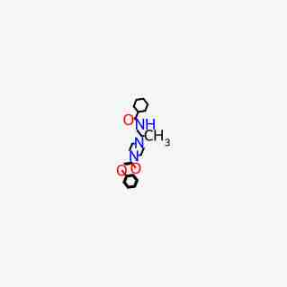 CC(CNC(=O)C1CCCCC1)N1CCN(C2=COc3ccccc3O2)CC1